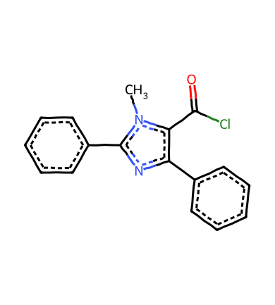 Cn1c(-c2ccccc2)nc(-c2ccccc2)c1C(=O)Cl